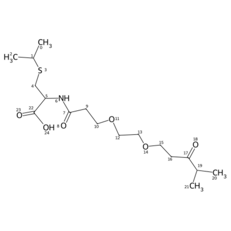 CC(C)SCC(NC(=O)CCOCCOCCC(=O)C(C)C)C(=O)O